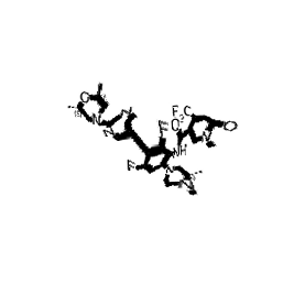 C[C@H]1CN(c2ncc(-c3c(F)cc(N4CCN(C)[C@@H](C)C4)c(NC(=O)c4cn(C)c(=O)cc4C(F)(F)F)c3F)cn2)C[C@H](C)O1